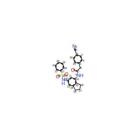 N#Cc1ccc(CC(=O)Nc2cc(NS(=O)(=O)c3ccccc3)cc3c2CCC3)cc1